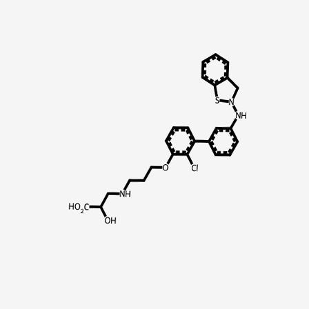 O=C(O)C(O)CNCCCOc1cccc(-c2cccc(NN3Cc4ccccc4S3)c2)c1Cl